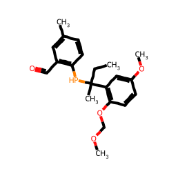 CCC(C)(Pc1ccc(C)cc1C=O)c1cc(OC)ccc1OCOC